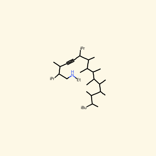 CCNCC(C(C)C)C(C)C#CC(C(C)C)C(C)C(C)C(C)C(C)C(C)C(C)C(C)C(C)C(C)CC